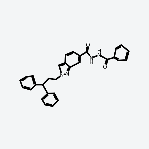 O=C(NNC(=O)c1ccc2cn(CCC(c3ccccc3)c3ccccc3)nc2c1)c1ccccc1